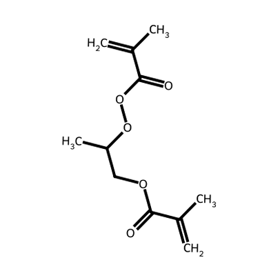 C=C(C)C(=O)OCC(C)OOC(=O)C(=C)C